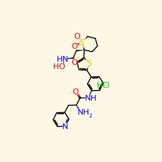 Cl.N[C@@H](Cc1cccnc1)C(=O)Nc1cccc(-c2ccc([C@@]3(CC(=O)NO)CCCCS3(=O)=O)s2)c1